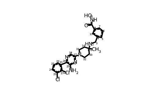 CC1(NCc2cccc(C(=O)NO)c2)CCN(c2cnc(-c3cccc(Cl)c3Cl)c(N)n2)CC1